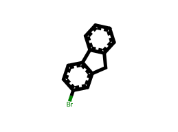 Brc1ccc2c(c1)Cc1c[c]ccc1-2